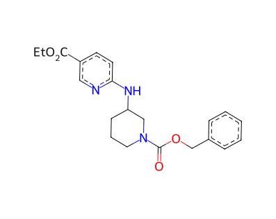 CCOC(=O)c1ccc(NC2CCCN(C(=O)OCc3ccccc3)C2)nc1